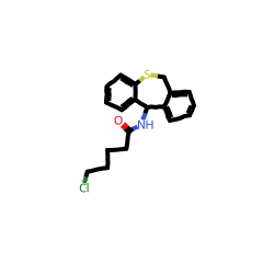 O=C(CCCCCl)NC1c2ccccc2CSc2ccccc21